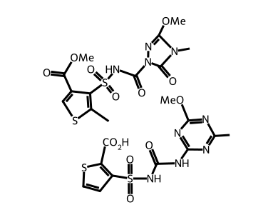 COC(=O)c1csc(C)c1S(=O)(=O)NC(=O)n1nc(OC)n(C)c1=O.COc1nc(C)nc(NC(=O)NS(=O)(=O)c2ccsc2C(=O)O)n1